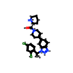 CC(c1ccc(Cl)cc1Cl)n1nnc2ccc(C3=CCN(C(=O)[C@H]4CCCCN4)CC3)cc21